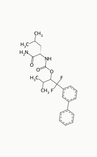 CC(C)C[C@H](NC(=O)OC(C(C)C)C(F)(F)c1cccc(-c2ccccc2)c1)C(N)=O